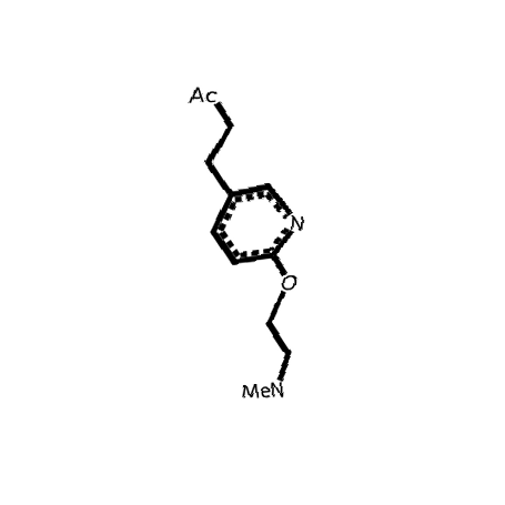 CNCCOc1ccc(CCC(C)=O)cn1